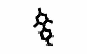 CC1CN(C)CC(C)N1c1ccc(C(C)(C)C)cc1